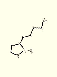 CC(C)CCCC[C@@H]1CCS[S@@+]1[O-]